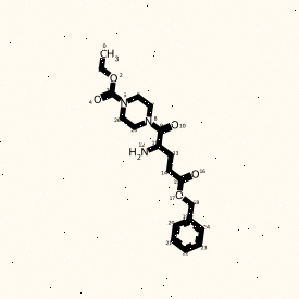 CCOC(=O)N1CCN(C(=O)C(N)CCC(=O)OCc2ccccc2)CC1